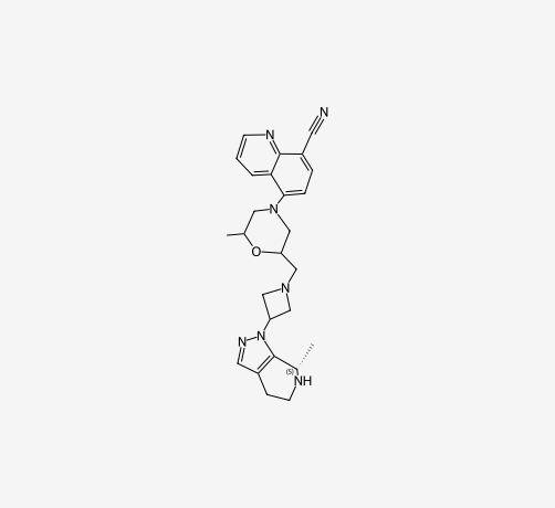 CC1CN(c2ccc(C#N)c3ncccc23)CC(CN2CC(n3ncc4c3[C@H](C)NCC4)C2)O1